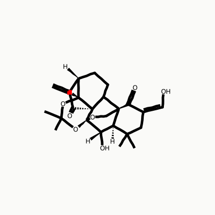 C=C1C(=O)[C@@]23C4CC[C@@H]1[C@H]2OC(C)(C)O[C@]31OC[C@]42C(=O)/C(=C\O)CC(C)(C)[C@H]2[C@@H]1O